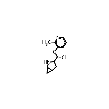 Cc1ncccc1OCC1CC2CC2N1.Cl